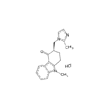 Cc1nccn1C[C@H]1CCc2c(c3ccccc3n2C)C1=O.Cl